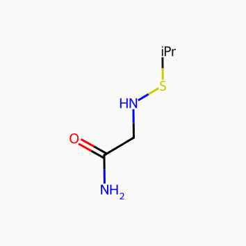 CC(C)SNCC(N)=O